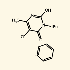 Cc1nc(O)n(C(C)(C)C)c(=O)c1Cl.[c]1ccccc1